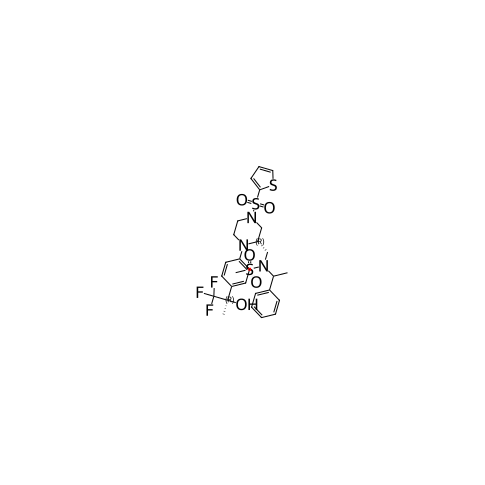 CC(c1ccccc1)N(C[C@H]1CN(S(=O)(=O)c2cccs2)CCN1c1ccc([C@@](C)(O)C(F)(F)F)cc1)S(C)(=O)=O